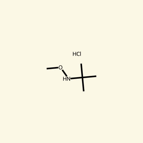 CONC(C)(C)C.Cl